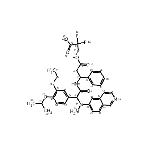 CCOc1cc(C(C(=O)NC(CC(=O)O)c2ccccc2)N(N)c2ccc3cnccc3c2)ccc1OC(C)C.O=C(O)C(F)(F)F